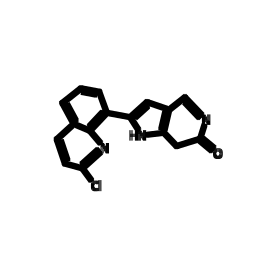 O=C1Cc2[nH]c(-c3cccc4ccc(Cl)nc34)cc2C=N1